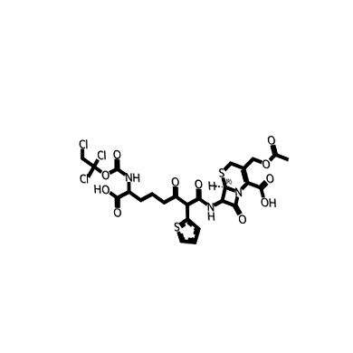 CC(=O)OCC1=C(C(=O)O)N2C(=O)C(NC(=O)C(C(=O)CCCC(NC(=O)OC(Cl)(Cl)CCl)C(=O)O)c3cccs3)[C@H]2SC1